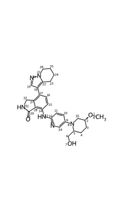 CO[C@H]1CCC(CO)N(c2ccc(Nc3ccc(-c4cnn5c4CCCC5)c4c3C(=O)NC4)nc2)C1